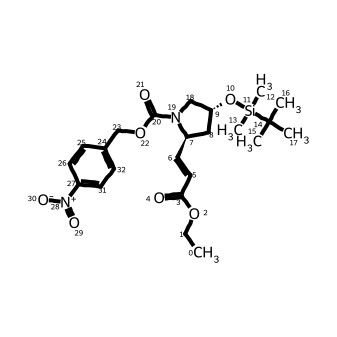 CCOC(=O)C=C[C@@H]1C[C@@H](O[Si](C)(C)C(C)(C)C)CN1C(=O)OCc1ccc([N+](=O)[O-])cc1